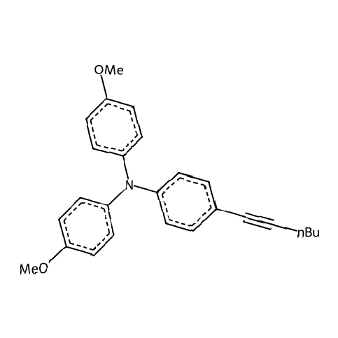 [CH2]CCCC#Cc1ccc(N(c2ccc(OC)cc2)c2ccc(OC)cc2)cc1